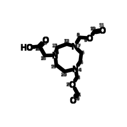 O=COCN1CCN(COC=O)CCN(CC(=O)O)CC1